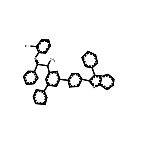 Cc1ccccc1/N=C(/c1ccccc1)C(C)c1cc(-c2ccccc2)cc(-c2ccc(-c3nc4ccccn4c3-c3ccccc3)cc2)c1